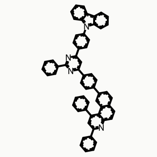 c1ccc(-c2cc(-c3ccccc3)c3c(ccc4ccc(-c5ccc(-c6cc(-c7ccc(-n8c9ccccc9c9ccccc98)cc7)nc(-c7ccccc7)n6)cc5)cc43)n2)cc1